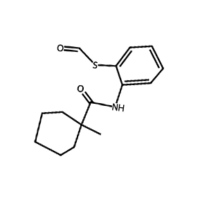 CC1(C(=O)Nc2ccccc2SC=O)CCCCC1